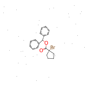 O=C(OC(c1ccccc1)c1ccccc1)C1(Br)CCCC1